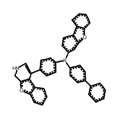 C1=C(c2ccc(N(c3ccc(-c4ccccc4)cc3)c3ccc4c(c3)oc3ccccc34)cc2)c2c(oc3ccccc23)CN1